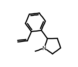 C=Cc1ccccc1C1CCCN1C